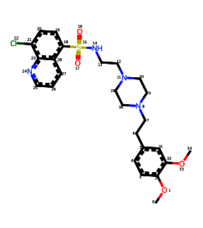 COc1ccc(CCN2CCN(CCNS(=O)(=O)c3ccc(Cl)c4ncccc34)CC2)cc1OC